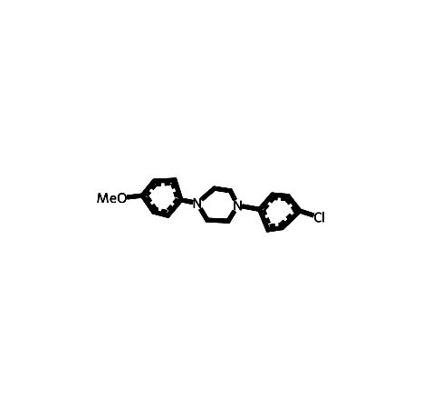 COc1ccc(N2CCN(c3ccc(Cl)cc3)CC2)cc1